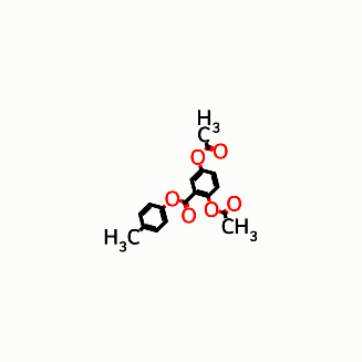 CC(=O)Oc1ccc(OC(C)=O)c(C(=O)Oc2ccc(C)cc2)c1